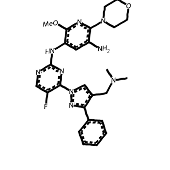 COc1nc(N2CCOCC2)c(N)cc1Nc1ncc(F)c(-n2cc(CN(C)C)c(-c3ccccc3)n2)n1